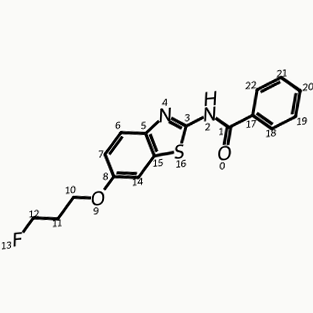 O=C(Nc1nc2ccc(OCCCF)cc2s1)c1ccccc1